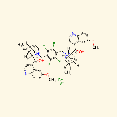 C=C[C@@H]1C[N@+]2(Cc3c(F)c(F)c(C[N@@+]45CC[C@@H](C[C@H]4[C@H](O)c4ccnc6ccc(OC)cc46)[C@@H](C=C)C5)c(F)c3F)CC[C@H]1C[C@H]2[C@H](O)c1ccnc2ccc(OC)cc12.[Br-].[Br-]